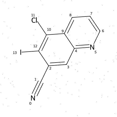 N#Cc1cc2ncccc2c(Cl)c1I